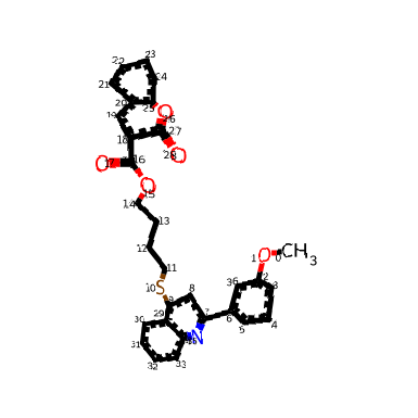 COc1cccc(-c2cc(SCCCCOC(=O)c3cc4ccccc4oc3=O)c3ccccc3n2)c1